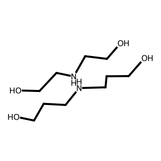 OCCCNCCCO.OCCNCCO